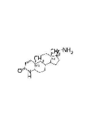 C[C@]12C=CC(=O)NC1CCC1C2CC[C@@]2(C)C1CC[C@@H]2CN